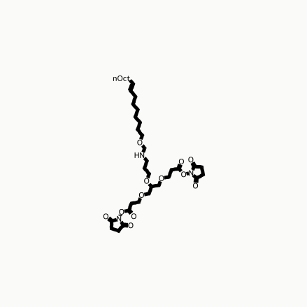 CCCCCCCC/C=C/CCCCCCCOCNCCCOC(COCCC(=O)ON1C(=O)CCC1=O)COCCC(=O)ON1C(=O)CCC1=O